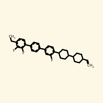 C=CC1CCC(C2CCC(c3ccc(-c4ccc(-c5ccc(CC)c(F)c5F)cc4)cc3F)CC2)CC1